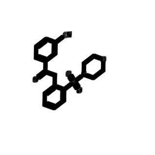 N#Cc1cccc(C(=O)Cc2ccccc2S(=O)(=O)N2CCOCC2)c1